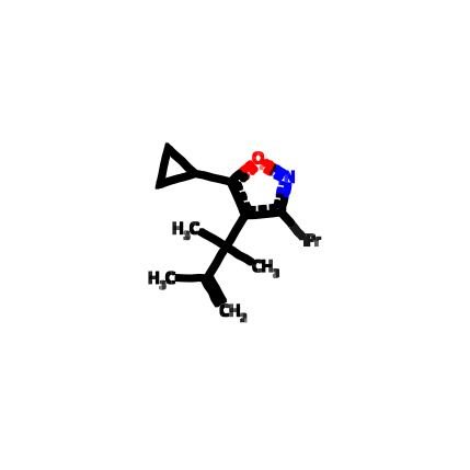 C=C(C)C(C)(C)c1c(C(C)C)noc1C1CC1